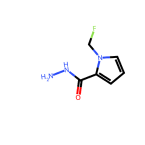 NNC(=O)c1cccn1CF